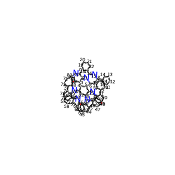 Cc1cc(-c2c(-c3cc(-c4ccccc4)nc(-c4ccccc4)n3)c(-n3c4ccccc4c4ccccc43)c(-n3c4ccccc4c4ccccc43)c(-n3c4ccccc4c4ccccc43)c2-n2c3ccccc3c3ccccc32)cc(C)n1